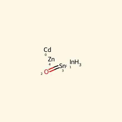 [Cd].[InH3].[O]=[Sn].[Zn]